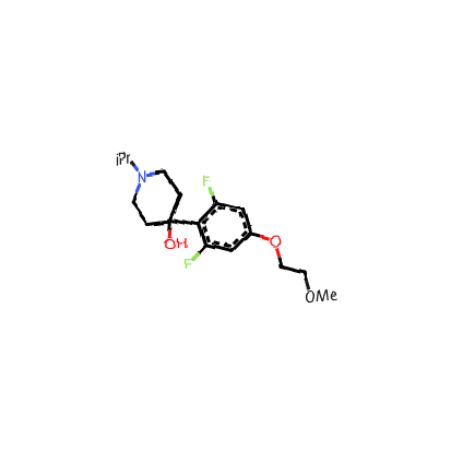 COCCOc1cc(F)c(C2(O)CCN(C(C)C)CC2)c(F)c1